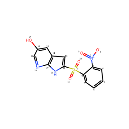 O=[N+]([O-])c1ccccc1S(=O)(=O)c1cc2cc(O)cnc2[nH]1